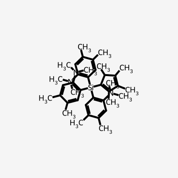 CC1=C(C)C(C)C([Si](c2cc(C)c(C)cc2N(C)C)(c2cc(C)c(C)cc2N(C)C)c2cc(C)c(C)cc2N(C)C)=C1C